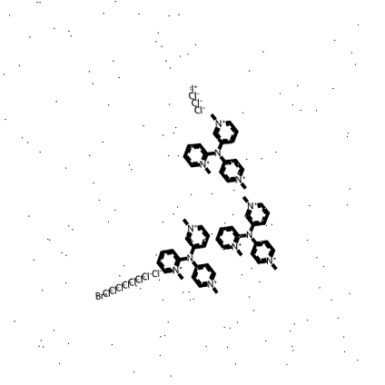 C[n+]1ccc(N(c2ccc[n+](C)c2)c2cccc[n+]2C)cc1.C[n+]1ccc(N(c2ccc[n+](C)c2)c2cccc[n+]2C)cc1.C[n+]1ccc(N(c2ccc[n+](C)c2)c2cccc[n+]2C)cc1.[Br+].[Cl-].[Cl-].[Cl-].[Cl-].[Cl-].[Cl-].[Cl-].[Cl-].[Cl-].[Cl-].[Cl-].[I+]